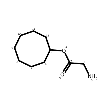 NCC(=O)OC1CCCCCCC1